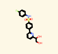 O=S(=O)(Nc1ccc(F)cc1)c1ccc(-c2cccc(C(O)CO)n2)cc1